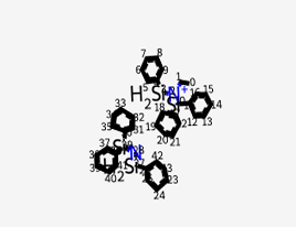 CC[N+]([SiH2]c1ccccc1)=[Si](c1ccccc1)c1ccccc1.c1ccc([SiH2]N=[Si](c2ccccc2)c2ccccc2)cc1